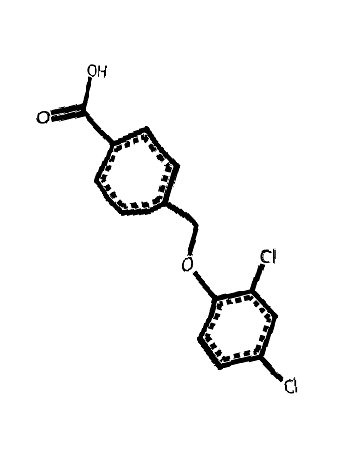 O=C(O)c1ccc(COc2ccc(Cl)cc2Cl)cc1